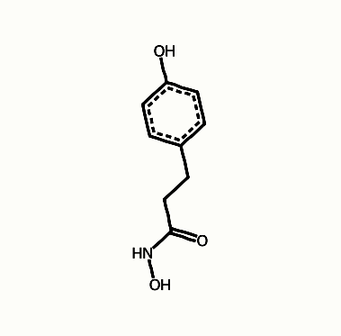 O=C(CCc1ccc(O)cc1)NO